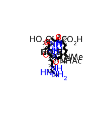 CNCCCC[C@H](NC(=O)C(CC(=O)O)NC(=O)[C@H](CC(=O)O)NC(=O)[C@H](CCCNC(=N)N)NC(=O)[C@H](CC(=O)O)NC(C)=O)C(=O)O